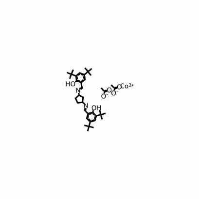 CC(=O)[O-].CC(=O)[O-].CC(C)(C)c1cc(C=NC2CCC(N=Cc3cc(C(C)(C)C)cc(C(C)(C)C)c3O)C2)c(O)c(C(C)(C)C)c1.[Co+2]